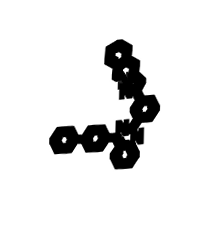 c1ccc(-c2ccc(-c3nc(-c4cccc(-c5cc6cc7ccccc7cn6n5)c4)nc4ccccc34)cc2)cc1